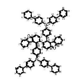 c1ccc(-c2ccc(N(c3ccc(-c4ccccc4)cc3)c3ccc(-c4c(-c5ccc6oc7ccccc7c6c5-c5ccc(N(c6ccc(-c7ccccc7)cc6)c6ccc(-c7ccccc7)cc6)cc5)ccc5oc6ccccc6c45)cc3)cc2)cc1